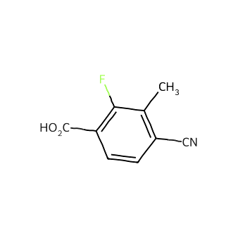 Cc1c(C#N)ccc(C(=O)O)c1F